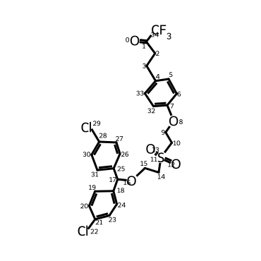 O=C(CCc1ccc(OCCS(=O)(=O)CCOC(c2ccc(Cl)cc2)c2ccc(Cl)cc2)cc1)C(F)(F)F